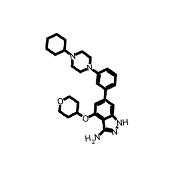 Nc1n[nH]c2cc(-c3cc[c]c(N4CCN(C5CCCCC5)CC4)c3)cc(OC3CCOCC3)c12